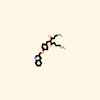 CCCCC(=O)C(Cc1ccc(OCc2cnc3ccccc3c2)cc1)C(=O)CCC